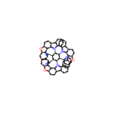 N#Cc1c(C#N)c(-n2c3ccccc3c3ccc4oc5ccccc5c4c32)c(-n2c3ccccc3c3ccc4oc5ccccc5c4c32)c(-c2ccccn2)c1-n1c2ccccc2c2ccc3oc4ccccc4c3c21